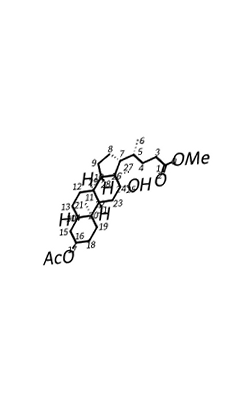 COC(=O)CC[C@@H](C)[C@H]1CC[C@H]2[C@@H]3CC[C@@H]4C[C@H](OC(C)=O)CC[C@]4(C)[C@H]3C[C@@H](O)[C@]12C